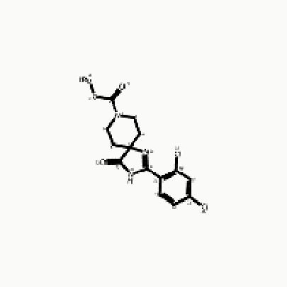 CC(C)(C)OC(=O)N1CCC2(CC1)N=C(c1ccc(Cl)cc1Cl)NC2=O